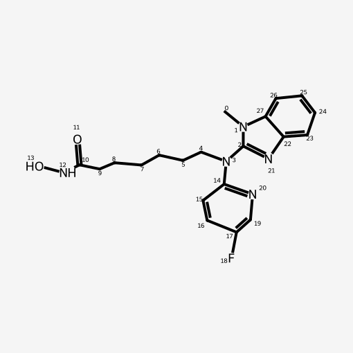 Cn1c(N(CCCCCCC(=O)NO)c2ccc(F)cn2)nc2ccccc21